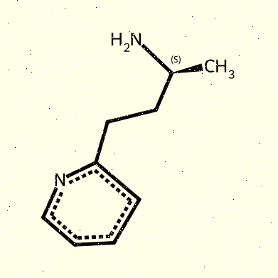 C[C@H](N)CCc1ccccn1